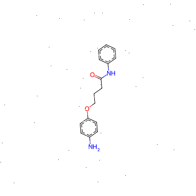 Nc1ccc(OCCCC(=O)Nc2ccccc2)cc1